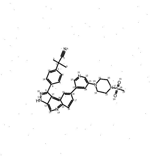 CC(C)(C#N)c1ccc(-c2n[nH]c3cnc4ccc(-c5cncc(N6CCN(S(C)(=O)=O)CC6)c5)cc4c23)cc1